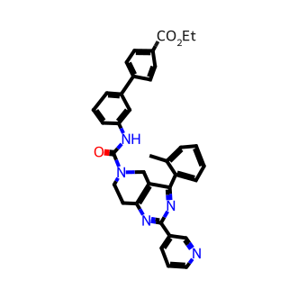 CCOC(=O)c1ccc(-c2cccc(NC(=O)N3CCc4nc(-c5cccnc5)nc(-c5ccccc5C)c4C3)c2)cc1